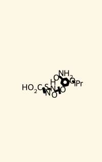 CC(C)Oc1cc(OC(C)(C)C(=O)Nc2ncc(C(=O)O)s2)cc(C(N)=O)c1